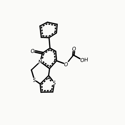 O=C(O)Oc1cc(-c2ccccc2)c(=O)n2c1-c1sccc1SC2